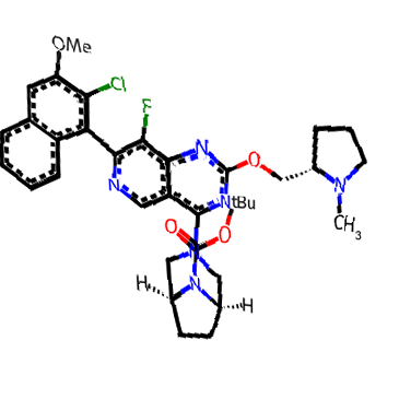 COc1cc2ccccc2c(-c2ncc3c(N4C[C@H]5CC[C@@H](C4)N5C(=O)OC(C)(C)C)nc(OC[C@@H]4CCCN4C)nc3c2F)c1Cl